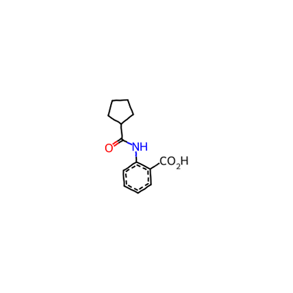 O=C(O)c1ccccc1NC(=O)C1CCCC1